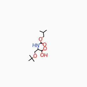 CC(C)COC(=O)NC(COC(C)(C)C)C(=O)O